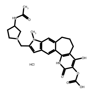 CC(=O)NC1CCN(Cc2cc3cc4c(cc3n2C)CCCc2c-4[nH]c(=O)c(OC(=O)O)c2O)C1.Cl